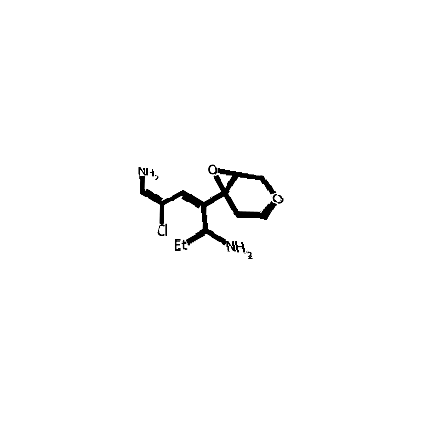 CCC(N)/C(=C\C(Cl)=C/N)C12CCOCC1O2